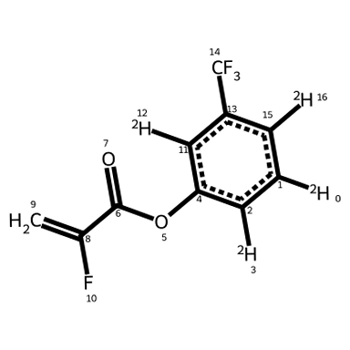 [2H]c1c([2H])c(OC(=O)C(=C)F)c([2H])c(C(F)(F)F)c1[2H]